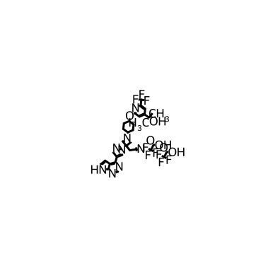 CC(C)(O)c1cc(O[C@H]2CC[C@H](N3CC(CC#N)(n4cc(-c5ncnc6[nH]ccc56)cn4)C3)CC2)nc(C(F)(F)F)c1.O=C(O)C(F)(F)F.O=C(O)C(F)(F)F